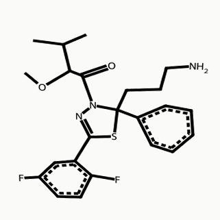 COC(C(=O)N1N=C(c2cc(F)ccc2F)SC1(CCCN)c1ccccc1)C(C)C